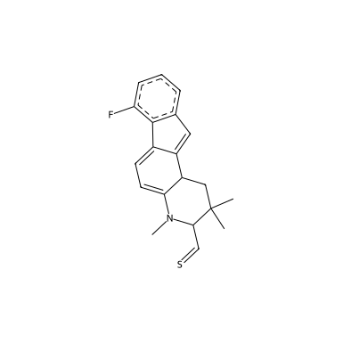 CN1C2=CC=C3C(=Cc4cccc(F)c43)C2CC(C)(C)C1C=S